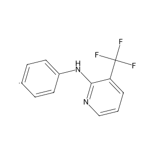 FC(F)(F)c1cccnc1Nc1cc[c]cc1